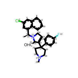 C[C@@H](c1cc(Cl)cc2ccccc12)N1CC=C(C2(c3ccc(F)cc3)CCN(C)CC2)C1C=O